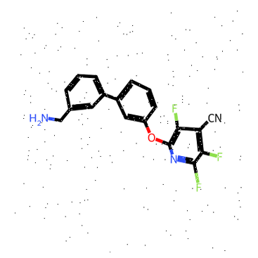 N#Cc1c(F)c(F)nc(Oc2cccc(-c3cccc(CN)c3)c2)c1F